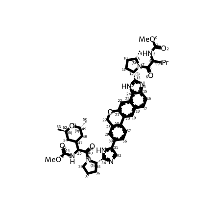 COC(=O)NC(C(=O)N1[C@@H](C)CC[C@H]1c1nc2ccc3cc4c(cc3c2[nH]1)OCc1cc(-c2cnc([C@@H]3CCCN3C(=O)C(NC(=O)OC)C3C[C@@H](C)O[C@H](C)C3)[nH]2)ccc1-4)C(C)C